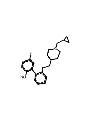 Oc1ccc(F)cc1-c1ccccc1CCC1CCN(CC2CC2)CC1